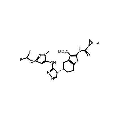 CCOC(=O)c1c(NC(=O)[C@H]2C[C@@H]2F)sc2c1C[C@@H](n1cnnc1Nc1cc(OC(F)F)nn1C)CC2